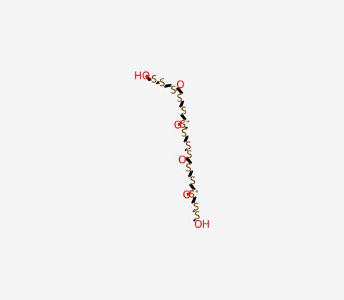 O=C(CSCCSCC[S+]([O-])CSCCSCSC(=O)CSCCSCC[S+]([O-])CCSCSCO)SCCSCSCO